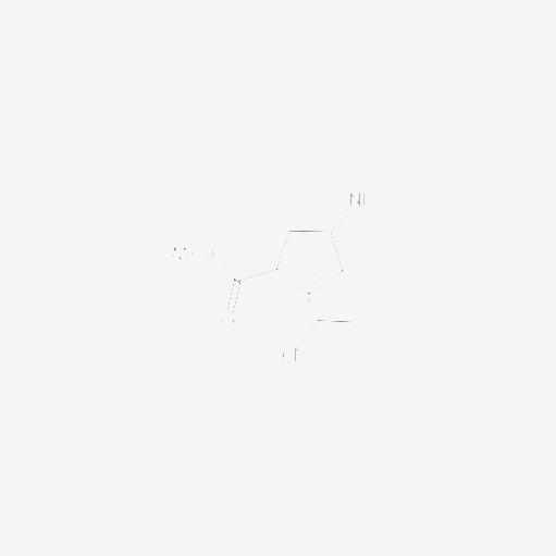 COC(=O)C1C=CC(N)C1.ClCCl